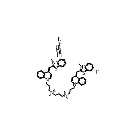 C[n+]1c(C=C2C=CN(CCC[N+](C)(C)CCC[N+](C)(C)CCCN3C=CC(=Cc4sc5ccccc5[n+]4C)c4ccccc43)c3ccccc32)sc2ccccc21.I.I.I.I.[I-].[I-].[I-].[I-]